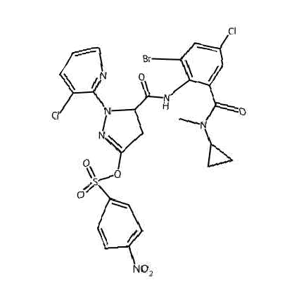 CN(C(=O)c1cc(Cl)cc(Br)c1NC(=O)C1CC(OS(=O)(=O)c2ccc([N+](=O)[O-])cc2)=NN1c1ncccc1Cl)C1CC1